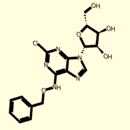 OC[C@H]1O[C@@H](n2cnc3c(NOCc4ccccc4)nc(Cl)nc32)[C@H](O)[C@@H]1O